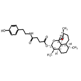 C[C@H]1[C@H](OC(=O)CCC(=O)NCCc2ccc(O)cc2)O[C@@H]2O[C@@]3(C)CC[C@H]4[C@H](C)CC[C@@H]1[C@@]24OO3